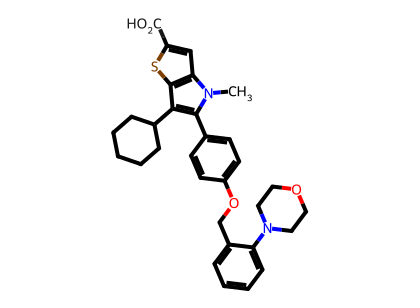 Cn1c(-c2ccc(OCc3ccccc3N3CCOCC3)cc2)c(C2CCCCC2)c2sc(C(=O)O)cc21